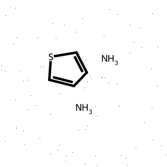 N.N.c1ccsc1